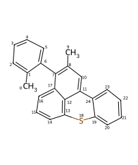 Cc1ccccc1-c1c(C)cc2c3c(cccc13)Sc1ccccc1-2